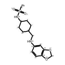 CC(C)S(=O)(=O)NC1CCC(CNc2ccc3c(c2)OCO3)CC1